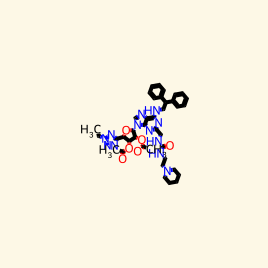 CCn1nnc(C2OC(n3cnc4c(NCC(c5ccccc5)c5ccccc5)nc(CNC(=O)NCCN5CCCCC5)nc43)C(OC(C)=O)C2OC(C)=O)n1